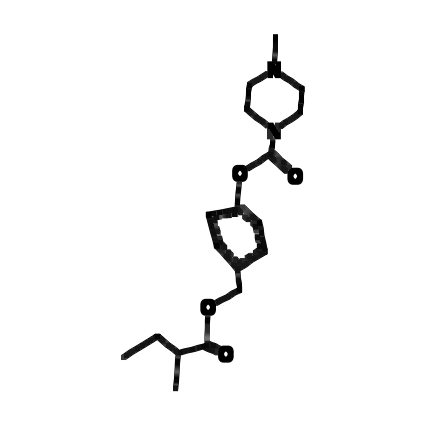 CCC(C)C(=O)OCc1ccc(OC(=O)N2CCN(C)CC2)cc1